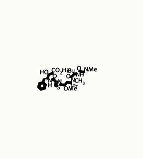 CCC(C)[C@H](NC(=O)CNC)C(=O)N(C)[C@H](CC(OC)c1nc(C(=O)N[C@@H](Cc2ccccc2)C(O)CC(=O)O)cs1)C(C)C